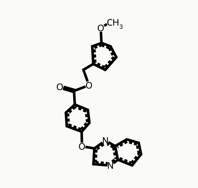 COc1cccc(COC(=O)c2ccc(Oc3cnc4ccccc4n3)cc2)c1